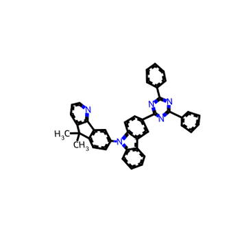 CC1(C)c2ccc(-n3c4ccccc4c4cc(-c5nc(-c6ccccc6)nc(-c6ccccc6)n5)ccc43)cc2-c2ncccc21